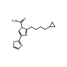 NC(=O)n1cc(-c2nccs2)nc1CCCCC1CC1